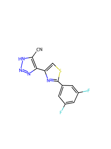 N#Cc1[nH]nnc1-c1csc(-c2cc(F)cc(F)c2)n1